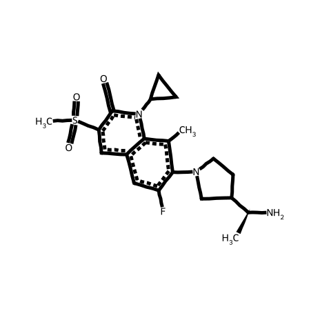 Cc1c(N2CCC([C@H](C)N)C2)c(F)cc2cc(S(C)(=O)=O)c(=O)n(C3CC3)c12